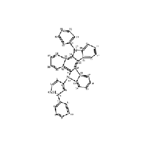 N/C=C\C(=C/Cc1ccccc1)n1c2ccccc2c2c3c4ccccc4n(-c4ccccc4)c3c3ccccc3c21